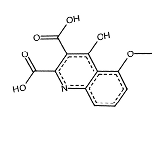 COc1cccc2nc(C(=O)O)c(C(=O)O)c(O)c12